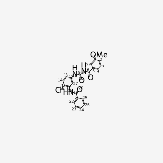 COc1cccc(C(=O)NC(=O)Nc2ccc(Cl)c(NC(=O)c3ccccc3)c2)c1